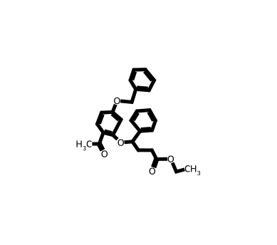 CCOC(=O)CCC(Oc1cc(OCc2ccccc2)ccc1C(C)=O)c1ccccc1